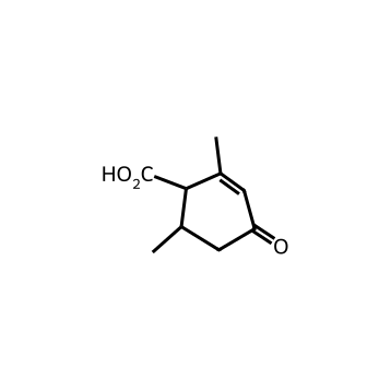 CC1=CC(=O)CC(C)C1C(=O)O